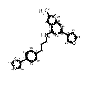 Cc1cc2c(NCCCc3ccc(-c4cncs4)cc3)nc(-c3ccoc3)nc2s1